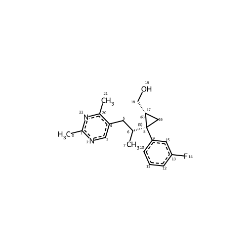 Cc1ncc(CC(C)[C@@]2(c3cccc(F)c3)C[C@H]2CO)c(C)n1